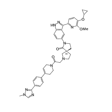 COc1nc(-c2n[nH]c3ccc(N4CC[C@]5(CCN(CC(=O)N6CC=C(c7ccc(-c8ncn(C)n8)cc7)CC6)C5)C4=O)cc23)ccc1OC1CC1